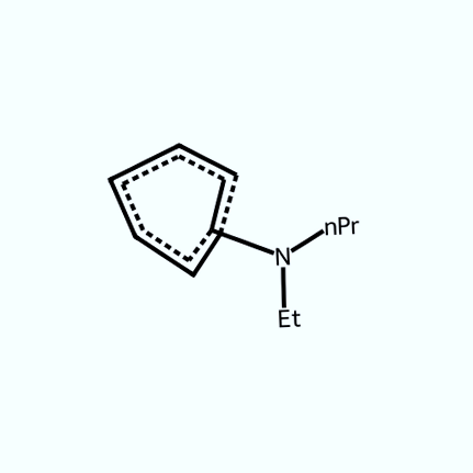 [CH2]CN(CCC)c1ccccc1